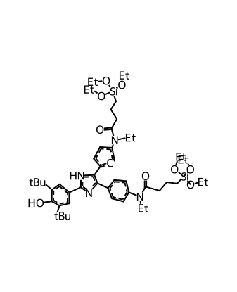 CCO[Si](CCCC(=O)N(CC)c1ccc(-c2nc(-c3cc(C(C)(C)C)c(O)c(C(C)(C)C)c3)[nH]c2-c2ccc(N(CC)C(=O)CCC[Si](OCC)(OCC)OCC)cc2)cc1)(OCC)OCC